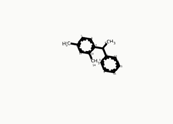 Cc1ccc(C(C)c2ccccc2)c(C)c1